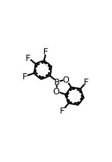 Fc1cc(B2Oc3c(F)ccc(F)c3O2)cc(F)c1F